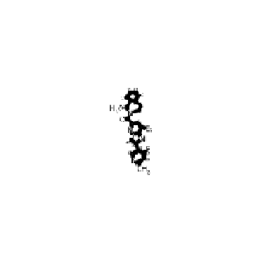 CCc1cc(C(=O)N2CCc3ccccc3[C@H]2C)nn2cc(-c3cnc(C)cc3F)nc12